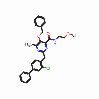 COCCNC(=O)c1nc(Cc2ccc(-c3ccccc3)cc2Cl)nc(C)c1OCc1ccccc1